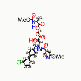 COC(=O)NC(C(=O)OCOC(=O)[C@H](O)CN(Cc1ccc(-c2cc(Cl)ccc2F)cc1)NC(=O)c1cc(OC)no1)C(C)C